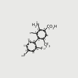 Cc1c(N)c(C(=O)O)cc(C(F)(F)F)c1-c1ncc(F)cc1F